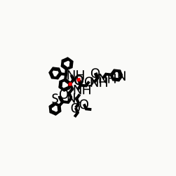 CCOC(OCC)C(C)N(Cc1csc2ccccc12)C(=O)C(CC(=O)NC(c1ccccc1)(c1ccccc1)c1ccccc1)NC(=O)CONC(=O)NCc1ccncc1